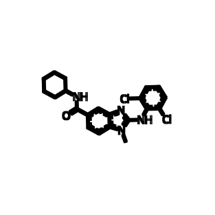 Cn1c(Nc2c(Cl)cccc2Cl)nc2cc(C(=O)NC3CCCCC3)ccc21